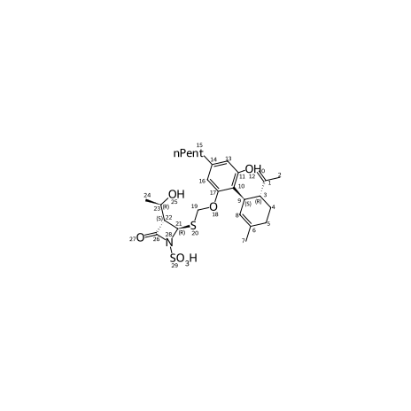 C=C(C)[C@@H]1CCC(C)=C[C@H]1c1c(O)cc(CCCCC)cc1OCS[C@@H]1[C@@H]([C@@H](C)O)C(=O)N1S(=O)(=O)O